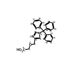 O=C(O)COCc1cn(C(c2ccccc2)(c2ccccc2)c2ccccc2)cn1